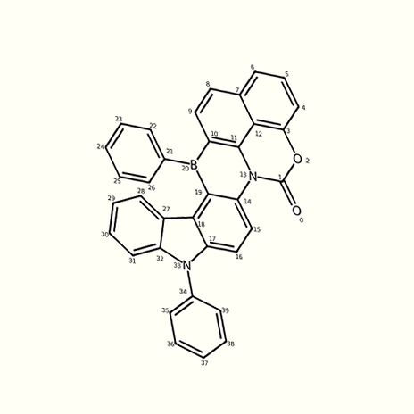 O=C1Oc2cccc3ccc4c(c23)N1c1ccc2c(c1B4c1ccccc1)c1ccccc1n2-c1ccccc1